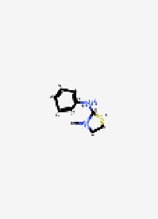 CN1CCSC1Nc1ccccc1